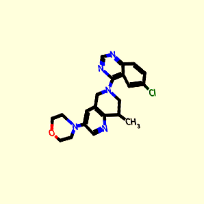 CC1CN(c2ncnc3ccc(Cl)cc23)Cc2cc(N3CCOCC3)cnc21